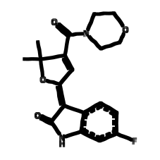 CC1(C)OC(=C2C(=O)Nc3cc(F)ccc32)C=C1C(=O)N1CCOCC1